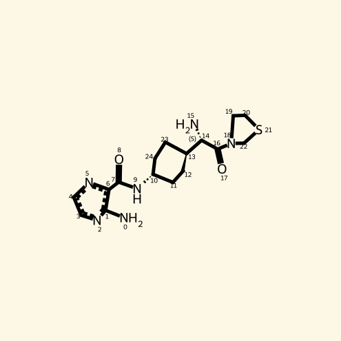 Nc1nccnc1C(=O)N[C@H]1CC[C@H]([C@H](N)C(=O)N2CCSC2)CC1